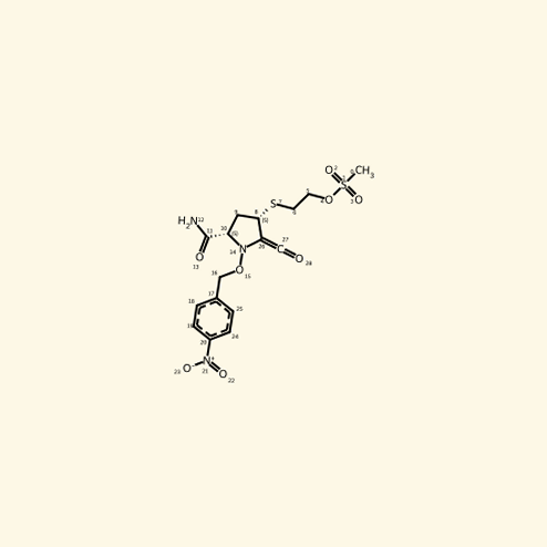 CS(=O)(=O)OCCS[C@H]1C[C@@H](C(N)=O)N(OCc2ccc([N+](=O)[O-])cc2)C1=C=O